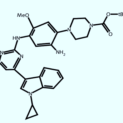 COc1cc(N2CCN(C(=O)OC(C)(C)C)CC2)c(N)cc1Nc1nccc(-c2cn(C3CC3)c3ccccc23)n1